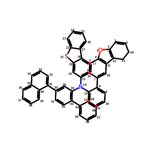 C1=Cc2oc3ccc(-c4ccccc4N(c4ccc5c(c4)sc4ccccc45)c4cc(-c5cccc6ccccc56)ccc4-c4ccccc4)cc3c2CC1